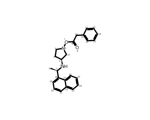 C[C@@H](N[C@H]1CCN(OC(=O)Cc2ccccc2)C1)c1cccc2ccccc12